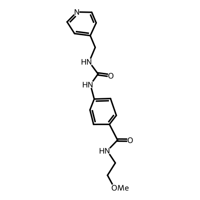 COCCNC(=O)c1ccc(NC(=O)NCc2ccncc2)cc1